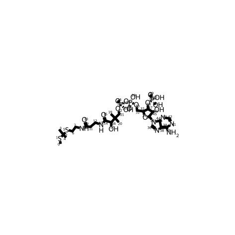 CSC(C)(C)SCCNC(=O)CCNC(=O)C(O)C(C)(C)COP(=O)(O)OP(=O)(O)OCC1OC(n2cnc3c(N)ncnc32)C(O)C1OP(=O)(O)O